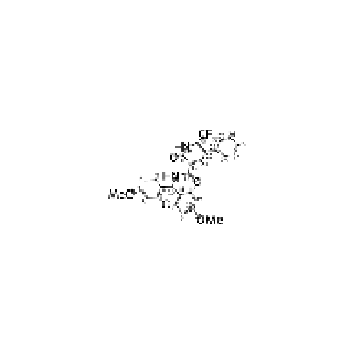 COc1ccc2c(c1)Oc1cc(OC)ccc1C2NC(=O)c1cc(-c2ccccc2)c(C(F)(F)F)[nH]c1=O